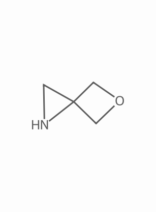 C1NC12COC2